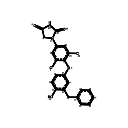 O=C1CN(c2cc(Cl)c(Oc3ccc(O)c(Cc4ccccc4)c3)c(Cl)c2)C(=O)N1